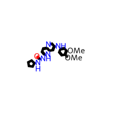 COc1ccc(Nc2cnc3ccc(NC(=O)NC4CCCC4)nc3c2)cc1OC